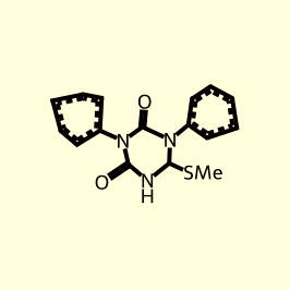 CSC1NC(=O)N(c2ccccc2)C(=O)N1c1ccccc1